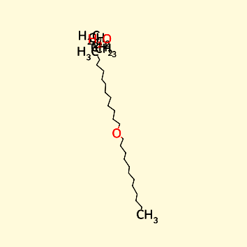 C=C.C=CC.CCCCCCCCCCCCOCCCCCCCCCCCC.O